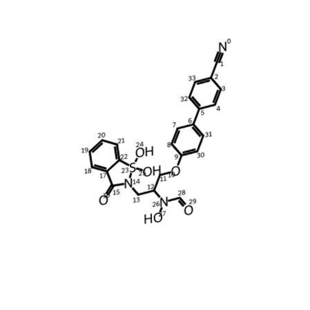 N#Cc1ccc(-c2ccc(OCC(CN3C(=O)c4ccccc4S3(O)O)N(O)C=O)cc2)cc1